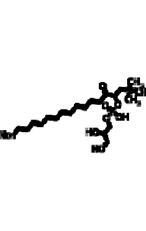 CCCCCCCCCC=CC=CC=CC=CC=CC=CC(=O)C(C[N+](C)(C)C)OP(=O)(O)OCC(O)CO